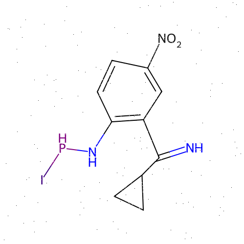 N=C(c1cc([N+](=O)[O-])ccc1NPI)C1CC1